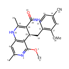 CCOc1nc(C)cc2c1[C@H](Cc1ccc(C#N)cc1OC)C(C(N)=O)=C(C)N2